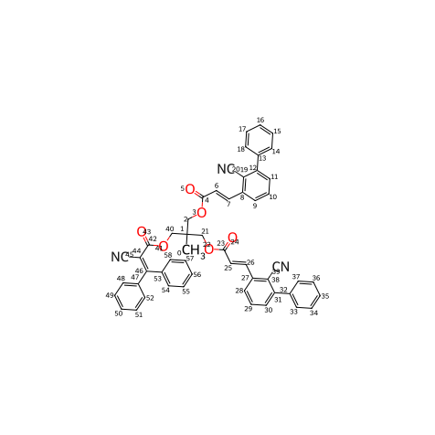 CC(COC(=O)C=Cc1cccc(-c2ccccc2)c1C#N)(COC(=O)C=Cc1cccc(-c2ccccc2)c1C#N)COC(=O)C(C#N)=C(c1ccccc1)c1ccccc1